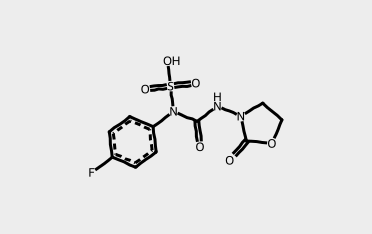 O=C1OCCN1NC(=O)N(c1ccc(F)cc1)S(=O)(=O)O